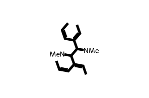 C/C=C\C(=C/C)C(NC)C(NC)C(/C=C\C)=C/C